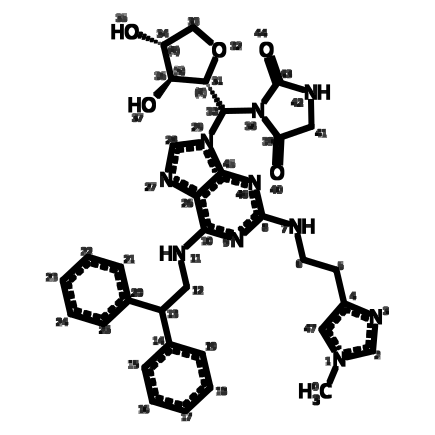 Cn1cnc(CCNc2nc(NCC(c3ccccc3)c3ccccc3)c3ncn(C([C@H]4OC[C@@H](O)[C@@H]4O)N4C(=O)CNC4=O)c3n2)c1